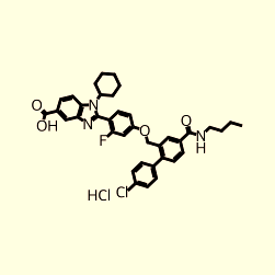 CCCCNC(=O)c1ccc(-c2ccc(Cl)cc2)c(COc2ccc(-c3nc4cc(C(=O)O)ccc4n3C3CCCCC3)c(F)c2)c1.Cl